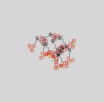 C[Si](C)(CCC[Si](O[Si](C)(C)CCCOS(C)(=O)=O)(O[Si](C)(C)CCCOS(C)(=O)=O)O[Si](C)(C)CCCOS(C)(=O)=O)O[Si](C)(O[Si](C)(C)CCC[Si](O[Si](C)(C)CCCOS(C)(=O)=O)(O[Si](C)(C)CCCOS(C)(=O)=O)O[Si](C)(C)CCCOS(C)(=O)=O)O[Si](C)(C)CCC[Si](O[Si](C)(C)CCCOS(C)(=O)=O)(O[Si](C)(C)CCCOS(C)(=O)=O)O[Si](C)(C)CCCOS(C)(=O)=O